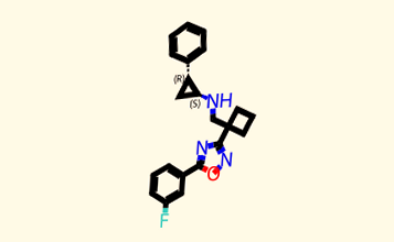 Fc1cccc(-c2nc(C3(CN[C@H]4C[C@@H]4c4ccccc4)CCC3)no2)c1